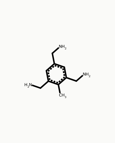 Cc1c(CN)cc(CN)cc1CN